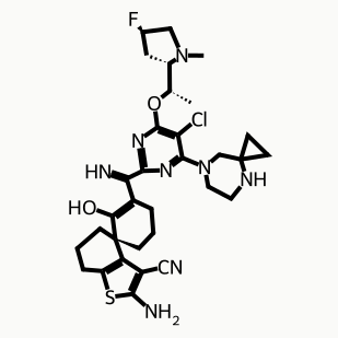 C[C@H](Oc1nc(C(=N)C2=C(O)[C@@]3(CCC2)CCCc2sc(N)c(C#N)c23)nc(N2CCNC3(CC3)C2)c1Cl)[C@@H]1C[C@@H](F)CN1C